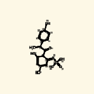 CC(C(=O)C1C(O)=CC(O)=C/C1=N\P(=O)(O)O)c1ccc(O)cc1